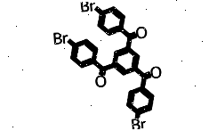 O=C(c1ccc(Br)cc1)c1cc(C(=O)c2ccc(Br)cc2)cc(C(=O)c2ccc(Br)cc2)c1